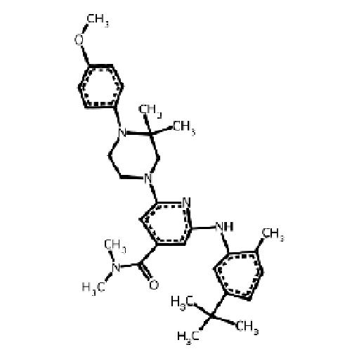 COc1ccc(N2CCN(c3cc(C(=O)N(C)C)cc(Nc4cc(C(C)(C)C)ccc4C)n3)CC2(C)C)cc1